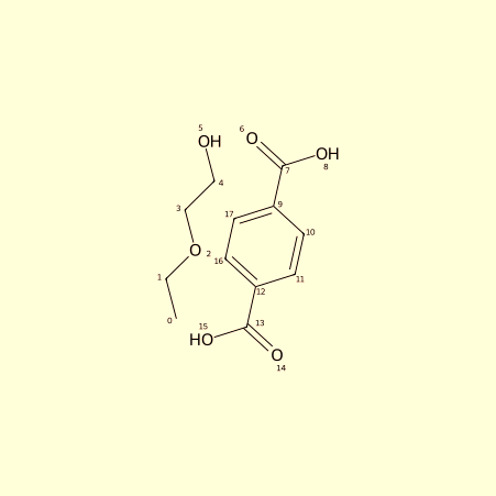 CCOCCO.O=C(O)c1ccc(C(=O)O)cc1